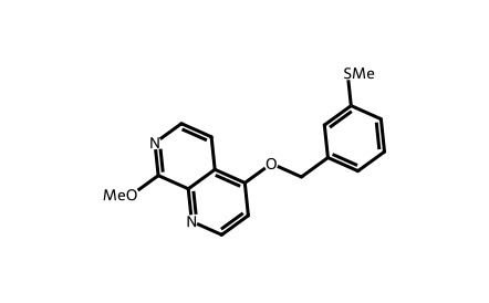 COc1nccc2c(OCc3cccc(SC)c3)ccnc12